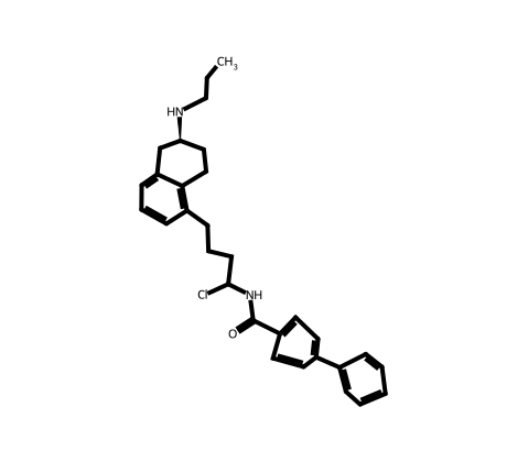 CCCN[C@H]1CCc2c(CCCC(Cl)NC(=O)c3ccc(-c4ccccc4)cc3)cccc2C1